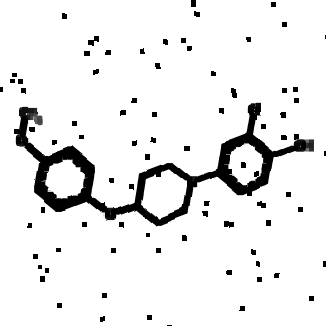 Oc1ccc(N2CCC(Oc3ccc(OC(F)(F)F)cc3)CC2)cc1Cl